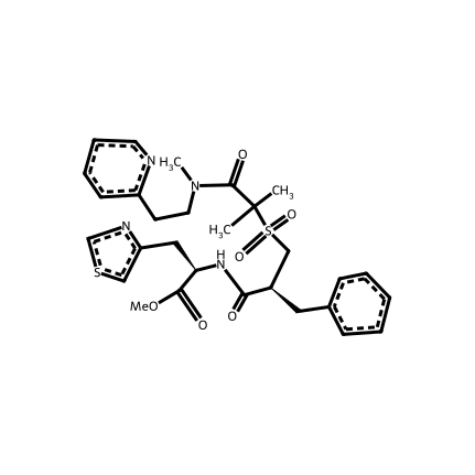 COC(=O)[C@@H](Cc1cscn1)NC(=O)[C@H](Cc1ccccc1)CS(=O)(=O)C(C)(C)C(=O)N(C)CCc1ccccn1